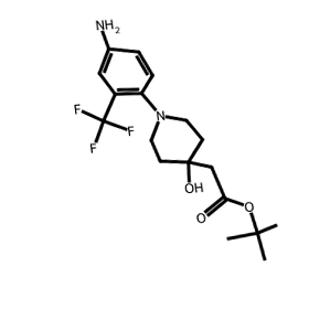 CC(C)(C)OC(=O)CC1(O)CCN(c2ccc(N)cc2C(F)(F)F)CC1